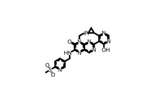 CC(C)Cn1c(=O)c(NCc2ccc(S(C)(=O)=O)nc2)nc2cnc(-c3c(O)ncnc3C3CC3)nc21